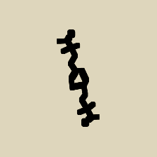 CC(=O)C(C)(C)CCc1ccc(CCC(C)(C)C(C)=O)cc1